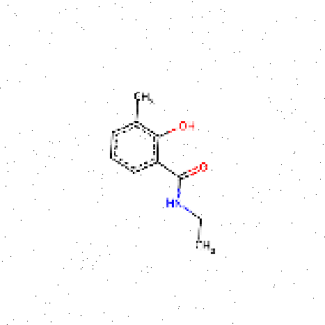 CCNC(=O)c1cccc(C)c1O